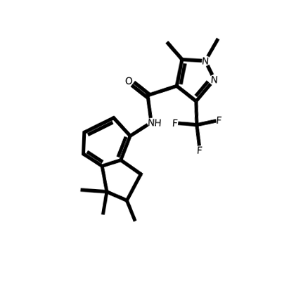 Cc1c(C(=O)Nc2cccc3c2CC(C)C3(C)C)c(C(F)(F)F)nn1C